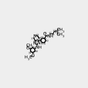 COc1cc(NC2=N[N+]3(c4cccc(C(=O)NCCCN(C)C)c4)C=CN=CC3=N2)cc(OC)c1